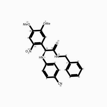 COc1cc([C@H](Nc2ccc(C#N)cc2)C(=O)NCc2ccccc2)c([N+](=O)[O-])cc1OC